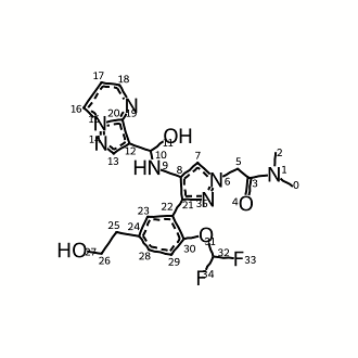 CN(C)C(=O)Cn1cc(NC(O)c2cnn3cccnc23)c(-c2cc(CCO)ccc2OC(F)F)n1